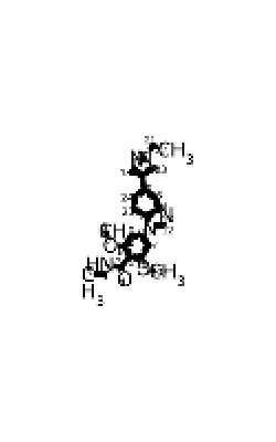 CCNC(=O)c1c(OC)cc(-n2cnc3cc(-c4cnn(CC)c4)ccc32)cc1OC